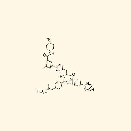 Cc1cc(C(=O)NC2CCC(N(C)C)CC2)cc(-c2ccc(C[C@H](NC(=O)[C@H]3CC[C@H](CNC(=O)O)CC3)C(=O)Nc3ccc(-c4nn[nH]n4)cc3)cc2)c1